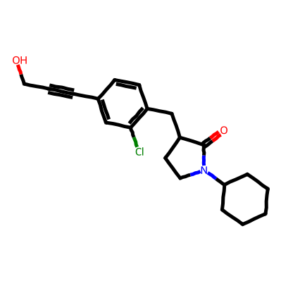 O=C1C(Cc2ccc(C#CCO)cc2Cl)CCN1C1CCCCC1